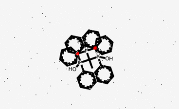 CC([PH](O)(c1ccccc1)c1ccccc1)([PH](O)(c1ccccc1)c1ccccc1)[PH](O)(c1ccccc1)c1ccccc1